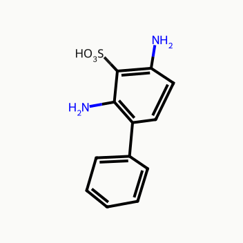 Nc1ccc(-c2ccccc2)c(N)c1S(=O)(=O)O